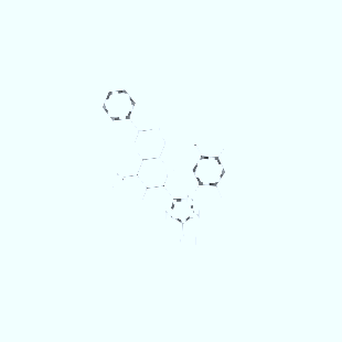 Cc1nc(C2OC3COC(c4ccccc4)OC3C(N)C2O)n(-c2cc(Cl)c(F)cc2C(F)(F)F)n1